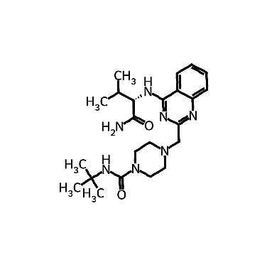 CC(C)[C@H](Nc1nc(CN2CCN(C(=O)NC(C)(C)C)CC2)nc2ccccc12)C(N)=O